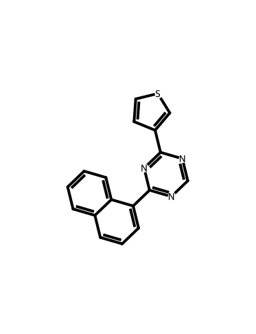 c1ccc2c(-c3ncnc(-c4ccsc4)n3)cccc2c1